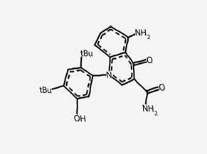 CC(C)(C)c1cc(C(C)(C)C)c(-n2cc(C(N)=O)c(=O)c3c(N)cccc32)cc1O